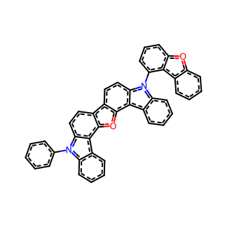 c1ccc(-n2c3ccccc3c3c4oc5c(ccc6c5c5ccccc5n6-c5cccc6oc7ccccc7c56)c4ccc32)cc1